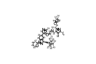 CCc1nn(CCO[Si](C)(C)C(C)(C)C)c(CN(C)C[C@H](C)Oc2c(-c3ccc4c(c3)c(C#C[Si](C(C)C)(C(C)C)C(C)C)nn4C3CCCCO3)cnn2C)c1I